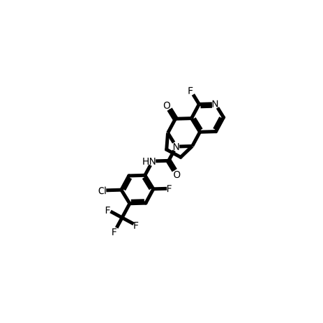 O=C1c2c(ccnc2F)C2CCC1N2C(=O)Nc1cc(Cl)c(C(F)(F)F)cc1F